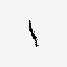 C=CCCCCCCOc1ccc(C(=O)Oc2ccc(-c3ccc(OCCCCCC(C)CC)cc3)cc2)cc1